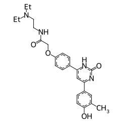 CCN(CC)CCNC(=O)COc1ccc(-c2cc(-c3ccc(O)c(C)c3)nc(=O)[nH]2)cc1